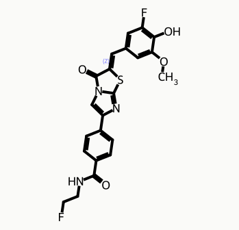 COc1cc(/C=c2\sc3nc(-c4ccc(C(=O)NCCF)cc4)cn3c2=O)cc(F)c1O